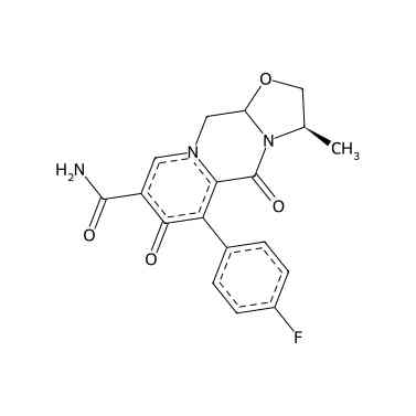 C[C@@H]1COC2Cn3cc(C(N)=O)c(=O)c(-c4ccc(F)cc4)c3C(=O)N21